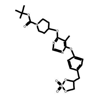 Cc1c(Oc2ccc(CC3COS(=O)(=O)O3)cc2)ncnc1OC1CCN(C(=O)OC(C)(C)C)CC1